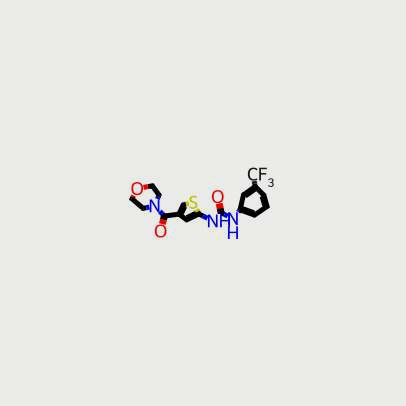 O=C(Nc1cccc(C(F)(F)F)c1)Nc1cc(C(=O)N2CCOCC2)cs1